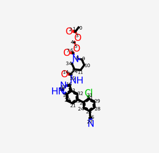 CC(=O)OCOC(=O)N1CCC[C@@H](C(=O)Nc2n[nH]c3ccc(-c4cc(C#N)ccc4Cl)cc23)C1